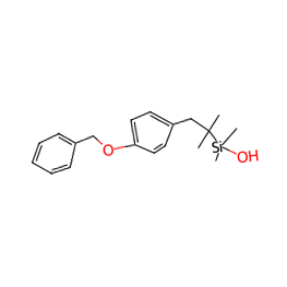 CC(C)(Cc1ccc(OCc2ccccc2)cc1)[Si](C)(C)O